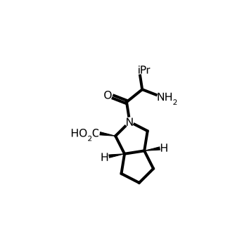 CC(C)C(N)C(=O)N1C[C@@H]2CCC[C@@H]2[C@H]1C(=O)O